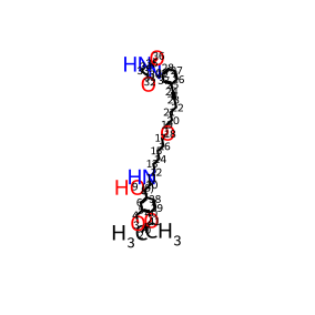 CC1(C)OCc2cc([C@H](O)CNCCCCCCOCCCCC#Cc3cccc(N4C(=O)CNC4=O)c3)ccc2O1